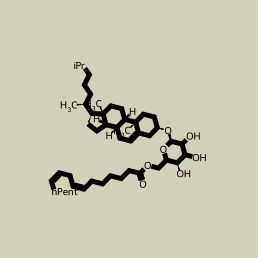 CCCCC/C=C\C/C=C\CCCCCC(=O)OCC1O[C@@H](O[C@H]2CC[C@@]3(C)C(=CC[C@H]4[C@@H]5CC[C@H]([C@H](C)CCCC(C)C)[C@@]5(C)CC[C@@H]43)C2)C(O)C(O)[C@@H]1O